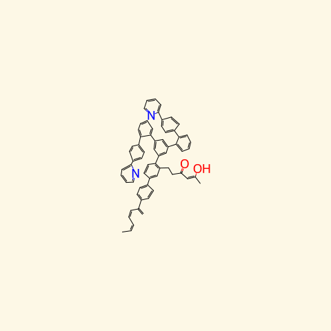 C=C(/C=C\C=C/C)c1ccc(-c2ccc(-c3cc(-c4ccccc4-c4ccc(-c5ccccn5)cc4)cc(-c4ccccc4-c4ccc(-c5ccccn5)cc4)c3)c(CCC(=O)/C=C(/C)O)c2)cc1